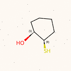 O[C@H]1CCCC[C@H]1S